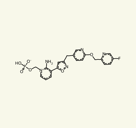 Nc1c(-c2cc(Cc3ccc(OCc4ccc(F)cn4)nc3)no2)ccc[n+]1COP(=O)([O-])O